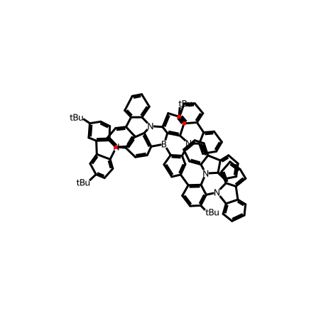 CC(C)(C)c1cc2c3c(c1)N(c1ccccc1-c1ccccc1)c1cc(-n4c5ccc(C(C)(C)C)cc5c5cc(C(C)(C)C)ccc54)ccc1B3c1ccc(-c3ccc(C(C)(C)C)c(-n4c5ccccc5c5ccccc54)c3-n3c4ccccc4c4ccccc43)cc1N2c1ccccc1-c1ccccc1